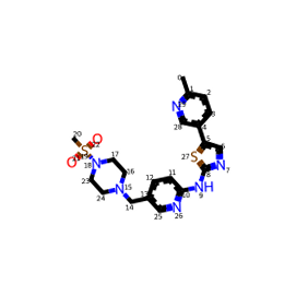 Cc1ccc(-c2cnc(Nc3ccc(CN4CCN(S(C)(=O)=O)CC4)cn3)s2)cn1